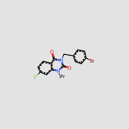 CC(C)n1c(=O)n(Cc2ccc(Br)cc2)c(=O)c2ccc(F)cc21